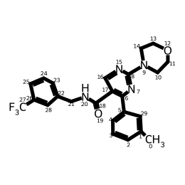 Cc1cccc(-c2nc(N3CCOCC3)ncc2C(=O)NCc2cccc(C(F)(F)F)c2)c1